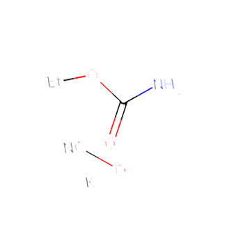 CCOC(N)=O.N#C[O-].[K+]